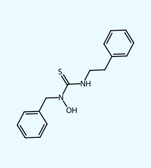 ON(Cc1ccccc1)C(=S)NCCc1ccccc1